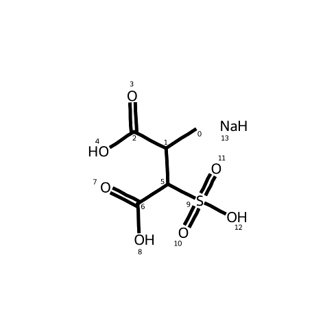 CC(C(=O)O)C(C(=O)O)S(=O)(=O)O.[NaH]